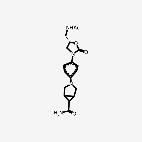 CC(=O)NC[C@H]1CN(c2ccc(N3CC4C(C3)C4C(N)=O)cc2)C(=O)O1